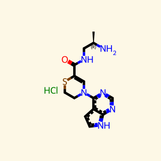 C[C@@H](N)CNC(=O)C1=CN(c2ncnc3[nH]ccc23)CCS1.Cl